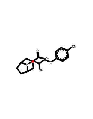 CCCC(=O)N1CC2CCC(C1)N2CC(O)COc1ccc(C#N)cc1